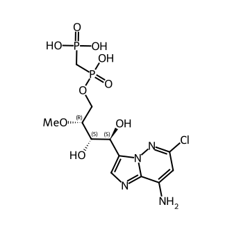 CO[C@H](COP(=O)(O)CP(=O)(O)O)[C@@H](O)[C@@H](O)c1cnc2c(N)cc(Cl)nn12